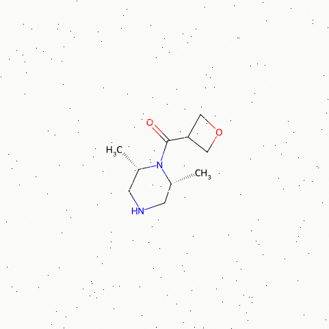 C[C@@H]1CNC[C@H](C)N1C(=O)C1COC1